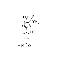 CC(C)(F)c1noc(N2CCC(C(N)=O)CC2)n1.Cl